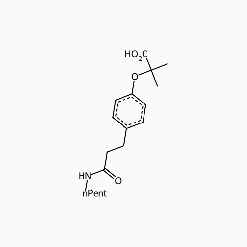 CCCCCNC(=O)CCc1ccc(OC(C)(C)C(=O)O)cc1